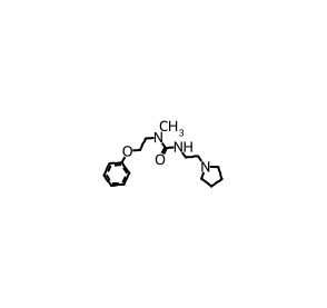 CN(CCOc1ccccc1)C(=O)NCCN1CCCC1